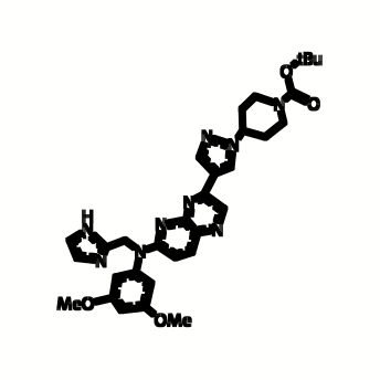 COc1cc(OC)cc(N(Cc2ncc[nH]2)c2ccc3ncc(-c4cnn(C5CCN(C(=O)OC(C)(C)C)CC5)c4)nc3n2)c1